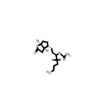 CCCCC(F)(F)C(CC[C@H]1CC[C@@H]2OC(=O)C[C@H]12)OC(C)=O